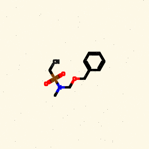 CN(COCc1ccccc1)S(=O)(=O)CC#N